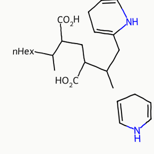 C1=CNC=CC1.CCCCCCC(C)C(CC(C(=O)O)C(C)CC1=CCC=CN1)C(=O)O